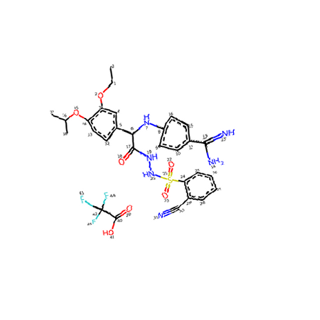 CCOc1cc(C(Nc2ccc(C(=N)N)cc2)C(=O)NNS(=O)(=O)c2ccccc2C#N)ccc1OC(C)C.O=C(O)C(F)(F)F